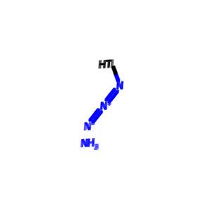 N.[N-]=[N+]=[N][TiH]